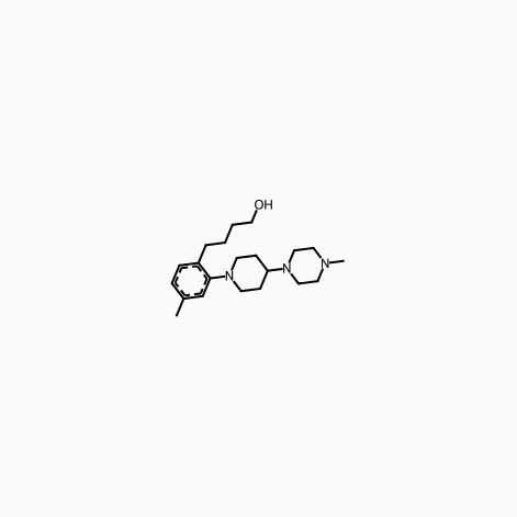 Cc1ccc(CCCCO)c(N2CCC(N3CCN(C)CC3)CC2)c1